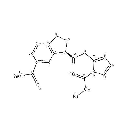 COC(=O)c1ccc2c(c1)[C@H](NCc1cccn1C(=O)OC(C)(C)C)CC2